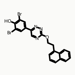 Oc1c(Br)cc(-c2cnc(OCCc3cccc4ccccc34)nn2)cc1Br